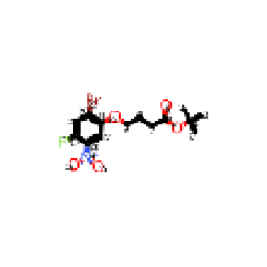 CC(C)(C)OC(=O)CCCOc1cc([N+](=O)[O-])c(F)cc1Br